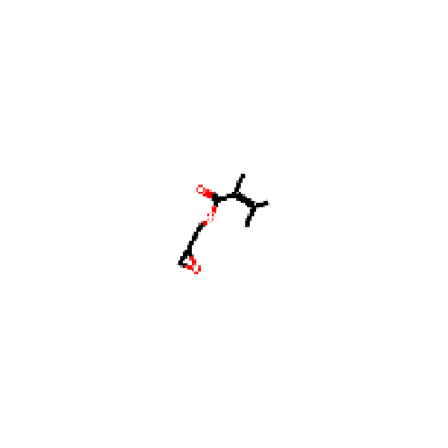 CC(C)=C(C)C(=O)OCC1CO1